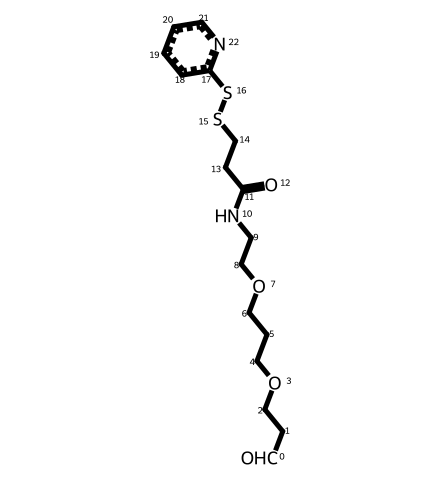 O=CCCOCCCOCCNC(=O)CCSSc1ccccn1